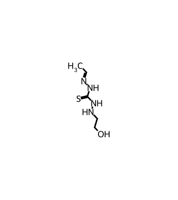 CC=NNC(=S)NNCCO